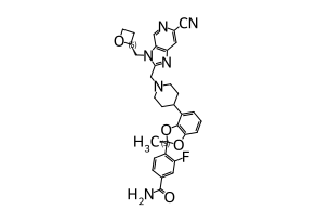 C[C@]1(c2ccc(C(N)=O)cc2F)Oc2cccc(C3CCN(Cc4nc5cc(C#N)ncc5n4C[C@@H]4CCO4)CC3)c2O1